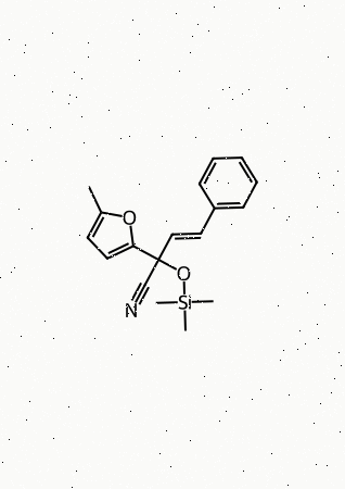 Cc1ccc(C(C#N)(/C=C/c2ccccc2)O[Si](C)(C)C)o1